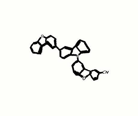 N#Cc1ccc2oc3ccc(-n4c5ccccc5c5cc(-c6ccc7oc8ccccc8c7c6)ccc54)cc3c2c1